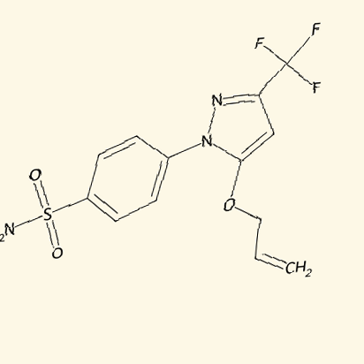 C=CCOc1cc(C(F)(F)F)nn1-c1ccc(S(N)(=O)=O)cc1